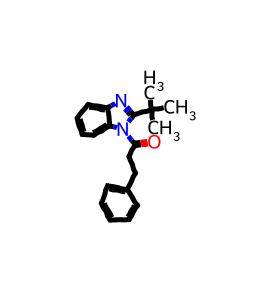 CC(C)(C)c1nc2ccccc2n1C(=O)CCc1ccccc1